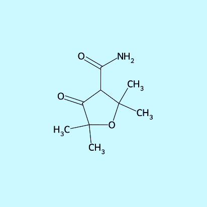 CC1(C)OC(C)(C)C(C(N)=O)C1=O